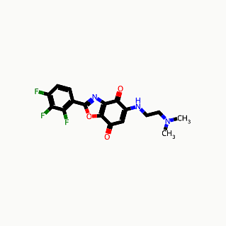 CN(C)CCNC1=CC(=O)c2oc(-c3ccc(F)c(F)c3F)nc2C1=O